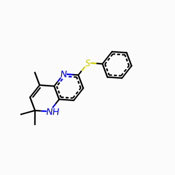 CC1=CC(C)(C)Nc2ccc(Sc3ccccc3)nc21